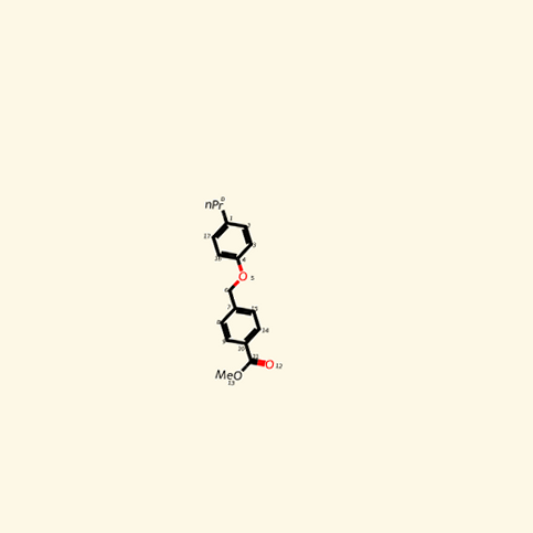 CCCc1ccc(OCc2ccc(C(=O)OC)cc2)cc1